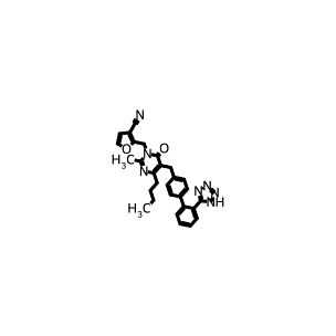 CCCCc1nc(C)n(Cc2occc2C#N)c(=O)c1Cc1ccc(-c2ccccc2-c2nnn[nH]2)cc1